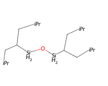 CC(C)CC(CC(C)C)[SiH2]O[SiH2]C(CC(C)C)CC(C)C